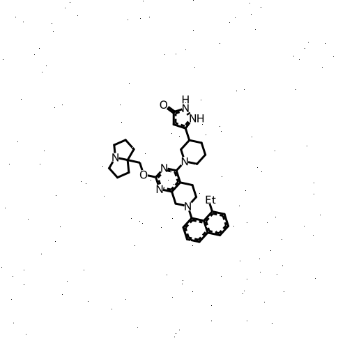 CCc1cccc2cccc(N3CCc4c(nc(OCC56CCCN5CCC6)nc4N4CCCC(c5cc(=O)[nH][nH]5)C4)C3)c12